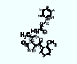 Cc1ccccc1C(=O)C1CCC(=O)N1C(C)CNC(=O)OCc1ccccc1